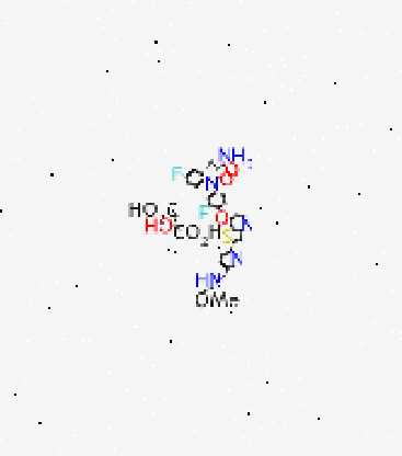 COCCNCc1ccc(-c2cc3nccc(Oc4ccc(N(C(=O)C5(C(N)=O)CC5)c5ccc(F)cc5)cc4F)c3s2)nc1.O=C(O)CC(O)C(=O)O